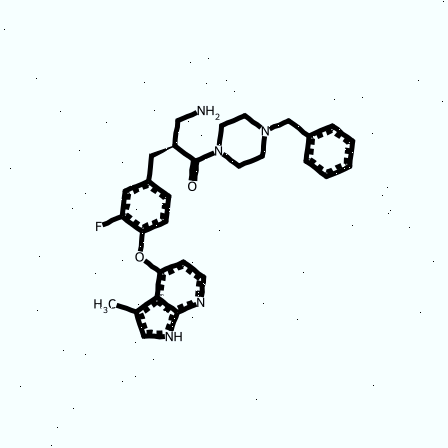 Cc1c[nH]c2nccc(Oc3ccc(C[C@@H](CN)C(=O)N4CCN(Cc5ccccc5)CC4)cc3F)c12